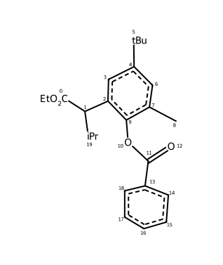 CCOC(=O)C(c1cc(C(C)(C)C)cc(C)c1OC(=O)c1ccccc1)C(C)C